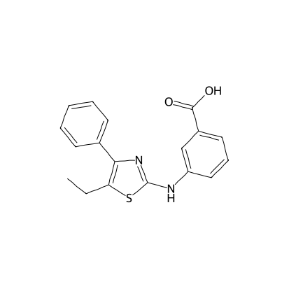 CCc1sc(Nc2cccc(C(=O)O)c2)nc1-c1ccccc1